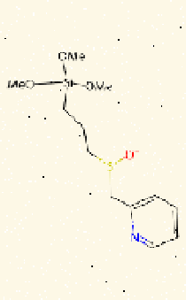 CO[Si](CCC[S+]([O-])Cc1ccccn1)(OC)OC